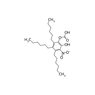 CCCCCCc1c(CCCCCC)c(OC(=O)O)c(O)c([N+](=O)[O-])c1CCCCCC